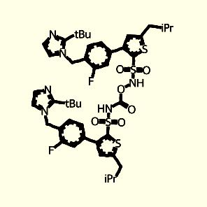 CC(C)Cc1cc(-c2ccc(Cn3ccnc3C(C)(C)C)c(F)c2)c(S(=O)(=O)NOC(=O)NS(=O)(=O)c2sc(CC(C)C)cc2-c2ccc(Cn3ccnc3C(C)(C)C)c(F)c2)s1